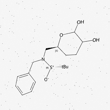 CC(C)(C)[S@+]([O-])N(Cc1ccccc1)C[C@@H]1CCC(O)C(O)O1